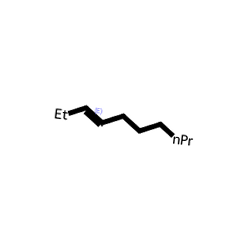 CC/C=[C]/CCCCCC